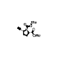 C#C[C@H]1CC[C@@H](C(=O)OC)N1C(=O)OC(C)(C)C